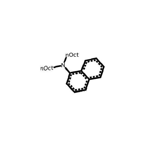 CCCCCCCCN(CCCCCCCC)c1cccc2ccccc12